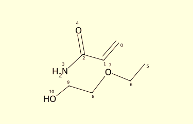 C=CC(N)=O.CCOCCO